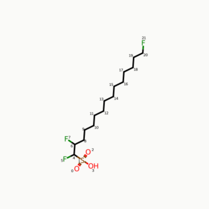 O=S(=O)(O)C(F)C(F)CCCCCCCCCCCCCF